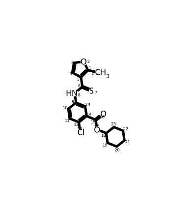 Cc1occc1C(=S)Nc1ccc(Cl)c(C(=O)OC2CCCCC2)c1